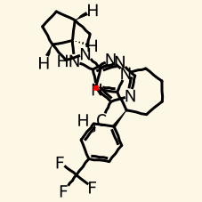 Cc1cc(N2C[C@H]3CC[C@@H](C2)[C@@H]3Nc2nc3n(n2)CCCC[C@H]3c2ccc(C(F)(F)F)cc2)ncn1